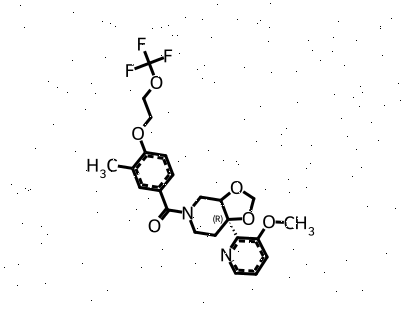 COc1cccnc1[C@]12CCN(C(=O)c3ccc(OCCOC(F)(F)F)c(C)c3)CC1OCO2